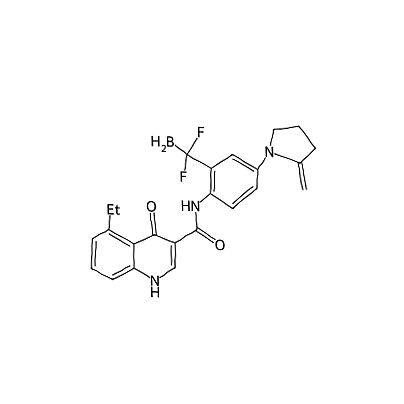 BC(F)(F)c1cc(N2CCCC2=C)ccc1NC(=O)c1c[nH]c2cccc(CC)c2c1=O